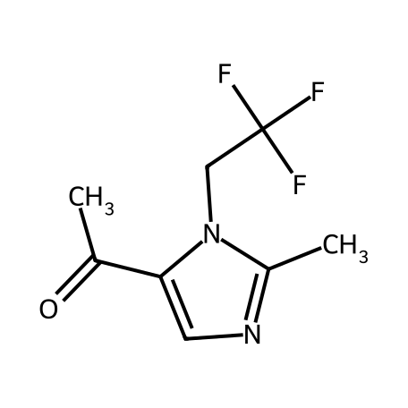 CC(=O)c1cnc(C)n1CC(F)(F)F